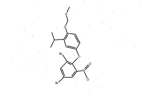 COCOc1ccc(Oc2c(Br)cc(Br)cc2[N+](=O)[O-])cc1C(C)C